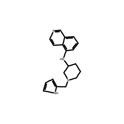 c1c[nH]c(CN2CCCC(Nc3cccc4cnccc34)C2)c1